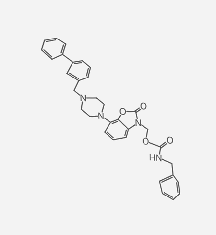 O=C(NCc1ccccc1)OCn1c(=O)oc2c(N3CCN(Cc4cccc(-c5ccccc5)c4)CC3)cccc21